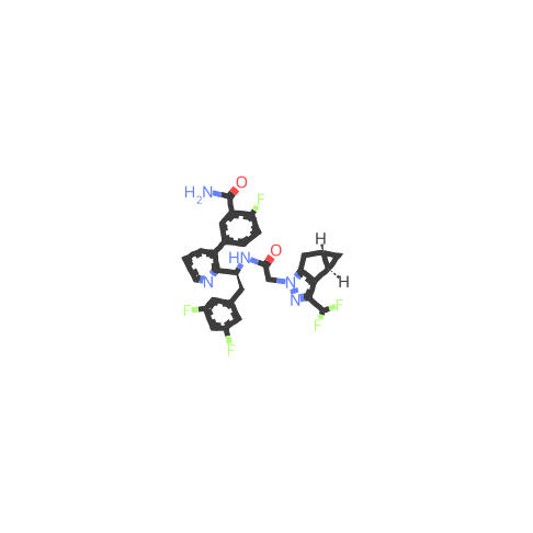 NC(=O)c1cc(-c2cccnc2[C@H](Cc2cc(F)cc(F)c2)NC(=O)Cn2nc(C(F)F)c3c2C[C@H]2C[C@@H]32)ccc1F